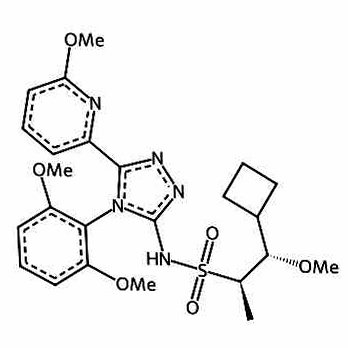 COc1cccc(-c2nnc(NS(=O)(=O)[C@H](C)[C@@H](OC)C3CCC3)n2-c2c(OC)cccc2OC)n1